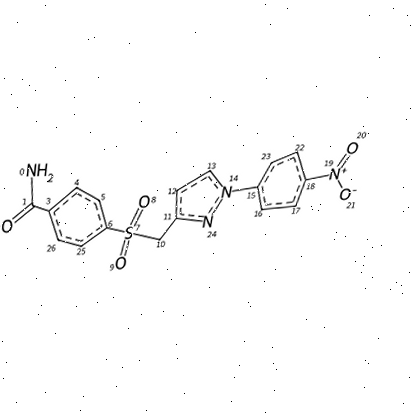 NC(=O)c1ccc(S(=O)(=O)Cc2ccn(-c3ccc([N+](=O)[O-])cc3)n2)cc1